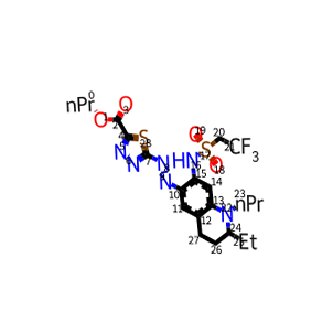 CCCOC(=O)c1nnc(N=Nc2cc3c(cc2NS(=O)(=O)CC(F)(F)F)N(CCC)C(CC)CC3)s1